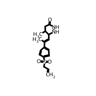 C=CCS(=O)(=O)c1ccc(/C(C)=C/C2NNC(=O)CC2C)cc1